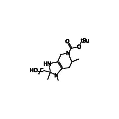 CC1CC2=C(CN1C(=O)OC(C)(C)C)NC(C)(C(=O)O)N2C